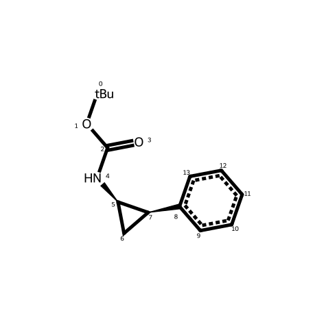 CC(C)(C)OC(=O)N[C@@H]1C[C@@H]1c1ccccc1